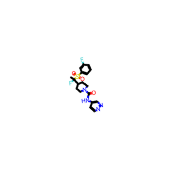 CC(F)(C1CCN(C(=O)Nc2ccnnc2)CC1)S(=O)(=O)c1cccc(F)c1